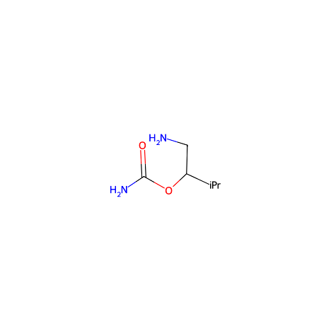 CC(C)C(CN)OC(N)=O